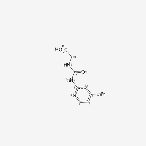 CC(C)c1ccnc(NC(=O)NCC(=O)O)c1